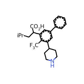 CC(C)CC(C(=O)O)c1cc(-c2ccccc2)cc(C2CCNCC2)c1C(F)(F)F